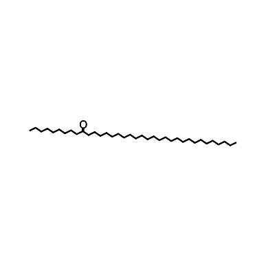 CCCCCCCCCCCCCCCCCCCCCCCCCCC(=O)CCCCCCCCC